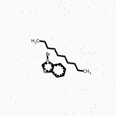 Brn1cnc2ccccc21.CCCCCCCCCC